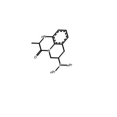 CCCN(CCC)C1Cc2cccc3c2N(C1)C(=O)C(C)N3